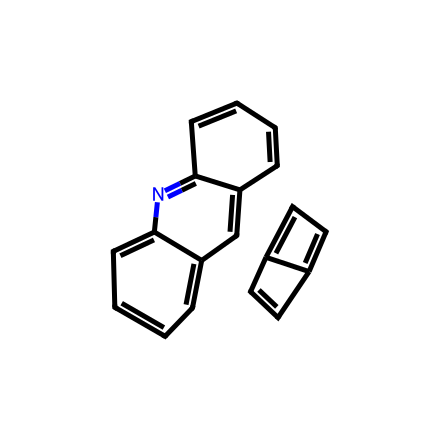 c1cc2ccc1-2.c1ccc2nc3ccccc3cc2c1